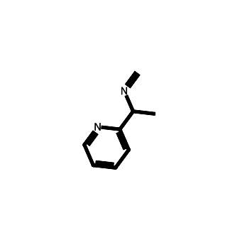 C=NC(C)c1ccccn1